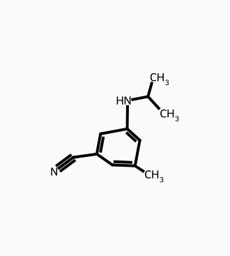 Cc1cc(C#N)cc(NC(C)C)c1